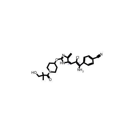 C=c1nc(OC2CCN(C(=O)C(C)(C)CO)CC2)[nH]/c1=C/C(Cl)=C(\N)c1ccc(C#N)cc1